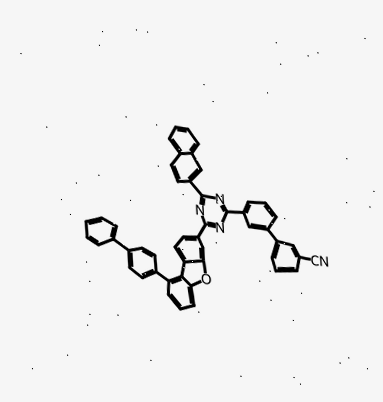 N#Cc1cccc(-c2cccc(-c3nc(-c4ccc5ccccc5c4)nc(-c4ccc5c(c4)oc4cccc(-c6ccc(-c7ccccc7)cc6)c45)n3)c2)c1